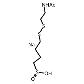 CC(=O)NCCSSCCCCS(=O)O.[Na]